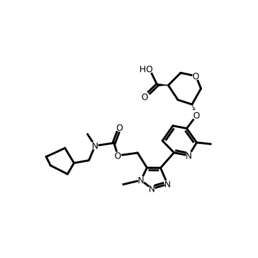 Cc1nc(-c2nnn(C)c2COC(=O)N(C)CC2CCCC2)ccc1O[C@H]1COC[C@H](C(=O)O)C1